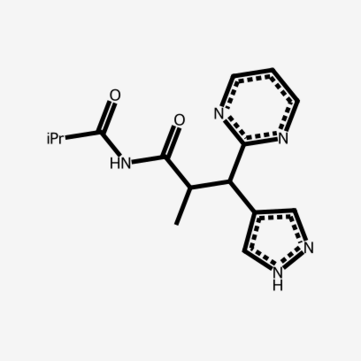 CC(C)C(=O)NC(=O)C(C)C(c1cn[nH]c1)c1ncccn1